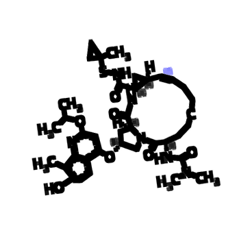 Cc1c(O)ccc2c(O[C@@H]3C[C@H]4C(=O)N[C@]5(C(=O)NSC6(C)CC6)C[C@H]5/C=C\CCCCC[C@H](NC(=O)N(C)C)C(=O)N4C3)cc(OC(C)C)nc12